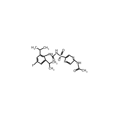 CC(=O)Nc1cnc(S(=O)(=O)NC(=O)Nc2c(C(C)C)cc(F)cc2C(C)C)cn1